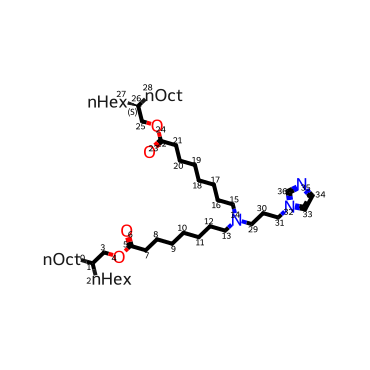 CCCCCCCCC(CCCCCC)COC(=O)CCCCCCCN(CCCCCCCC(=O)OC[C@@H](CCCCCC)CCCCCCCC)CCCn1ccnc1